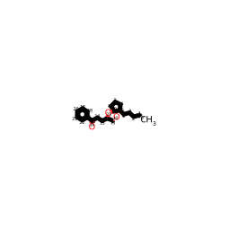 CCCCCC1CCCC12OCC(CCC(=O)c1ccccc1)O2